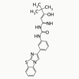 CC(C)(C)/C(O)=C/C(=N)NC(=O)Nc1cccc(-c2cn3c(n2)sc2ccccc23)c1